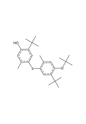 Cc1cc(O)c(C(C)(C)C)cc1Sc1cc(C(C)(C)C)c(OC(C)(C)C)cc1C